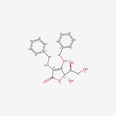 O=C1O[C@](O)([C@@H](O)CO)C(OCc2ccccc2)=C1OCc1ccccc1